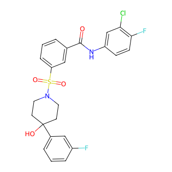 O=C(Nc1ccc(F)c(Cl)c1)c1cccc(S(=O)(=O)N2CCC(O)(c3cccc(F)c3)CC2)c1